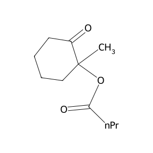 CCCC(=O)OC1(C)CCCCC1=O